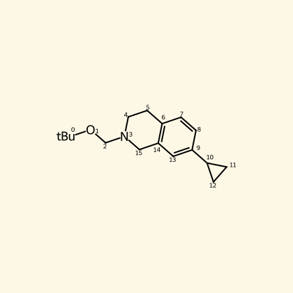 CC(C)(C)OCN1CCc2ccc(C3CC3)cc2C1